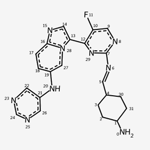 NC1CCC(C=Nc2ncc(F)c(-c3cnc4ccc(Nc5cncnc5)cn34)n2)CC1